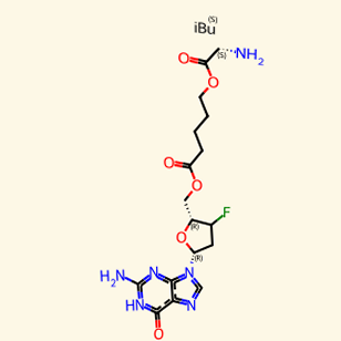 CC[C@H](C)[C@H](N)C(=O)OCCCCC(=O)OC[C@H]1O[C@@H](n2cnc3c(=O)[nH]c(N)nc32)CC1F